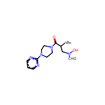 CCCCC(CN(O)C=O)C(=O)N1CCN(c2ncccn2)CC1